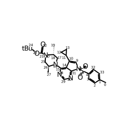 Cc1ccc(S(=O)(=O)n2cc(C3CC3)c3c(N4C[C@@H](C)N(C(=O)OC(C)(C)C)C[C@@H]4C)ncnc32)cc1